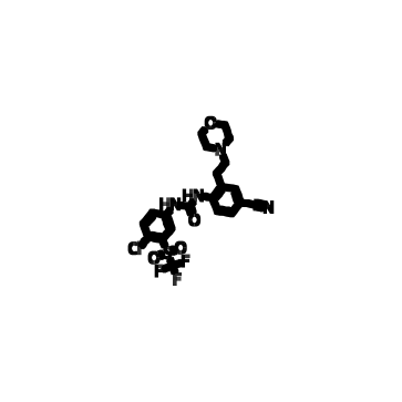 N#Cc1ccc(NC(=O)Nc2ccc(Cl)c(S(=O)(=O)C(F)(F)F)c2)c(CCN2CCOCC2)c1